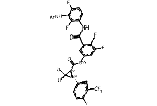 CC(=O)Nc1c(F)ccc(NC(=O)c2cc(NC(=O)[C@H]3[C@H](c4ccc(F)c(C(F)(F)F)c4)C3(Cl)Cl)cc(F)c2F)c1F